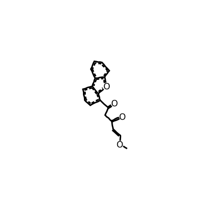 CO/C=C/C(=O)CC(=O)c1cccc2c1oc1ccccc12